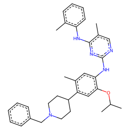 Cc1ccccc1Nc1nc(Nc2cc(C)c(C3CCN(Cc4ccccc4)CC3)cc2OC(C)C)ncc1C